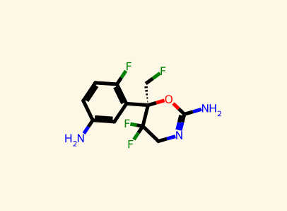 NC1=NCC(F)(F)[C@@](CF)(c2cc(N)ccc2F)O1